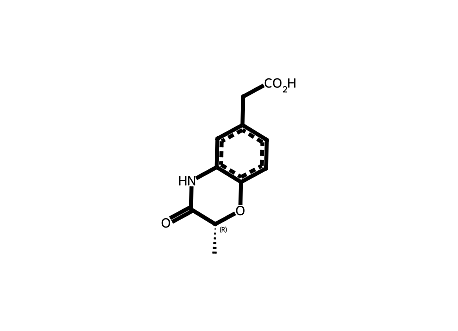 C[C@H]1Oc2ccc(CC(=O)O)cc2NC1=O